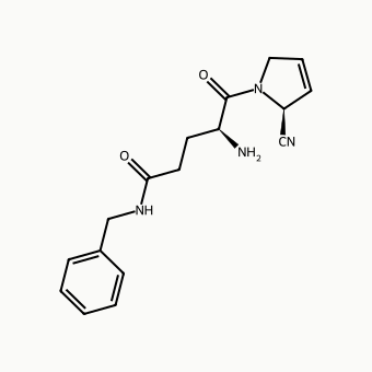 N#C[C@@H]1C=CCN1C(=O)[C@@H](N)CCC(=O)NCc1ccccc1